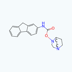 O=C(Nc1ccc2c(c1)Cc1ccccc1-2)ON1CCN2CCC1CC2